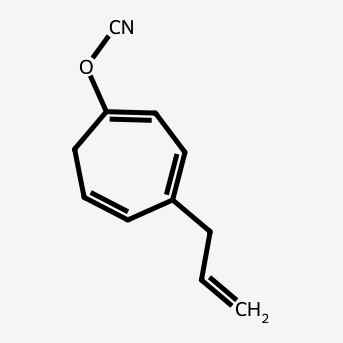 C=CCC1=CC=C(OC#N)CC=C1